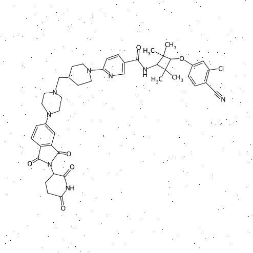 CC1(C)C(NC(=O)c2ccc(N3CCC(CN4CCN(c5ccc6c(c5)C(=O)N(C5CCC(=O)NC5=O)C6=O)CC4)CC3)nc2)C(C)(C)C1Oc1ccc(C#N)c(Cl)c1